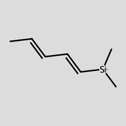 CC=CC=C[Si](C)C